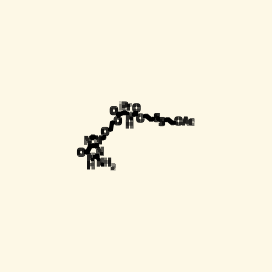 CC(=O)OCCSSCCOC(=O)N[C@H](C(=O)OCCOCn1cnc2c(=O)[nH]c(N)nc21)C(C)C